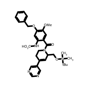 COc1cc(C(=O)N2CCC(c3cncnc3)=CC2CO[Si](C)(C)C(C)(C)C)c(NC(=O)O)cc1OCc1ccccc1